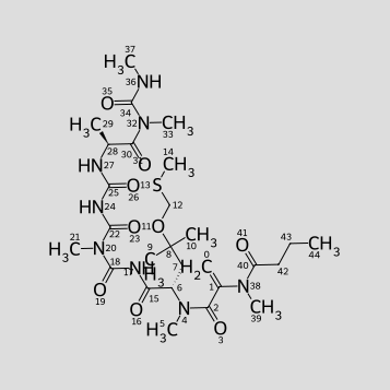 C=C(C(=O)N(C)[C@@H](CC(C)(C)OCSC)C(=O)NC(=O)N(C)C(=O)NC(=O)N[C@@H](C)C(=O)N(C)C(=O)NC)N(C)C(=O)CCC